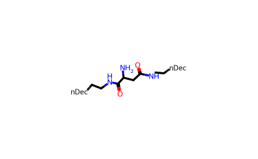 CCCCCCCCCCCCNC(=O)CC(N)C(=O)NCCCCCCCCCCCC